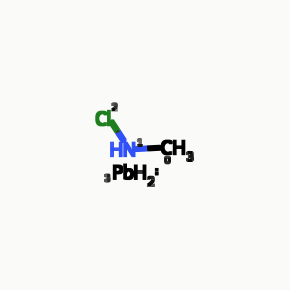 CNCl.[PbH2]